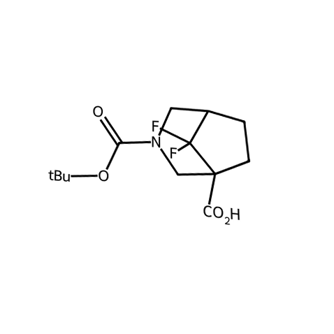 CC(C)(C)OC(=O)N1CC2CCC(C(=O)O)(C1)C2(F)F